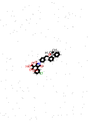 CC(C)(C)[Si](OCCc1ccc(N2C(=O)C(c3cccc(Cl)c3)=C(C(C(=O)O)C(=O)O)C2=O)cc1)(c1ccccc1)c1ccccc1